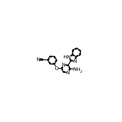 N#Cc1cccc(Oc2cnc(N)c(-c3nc4ccccc4[nH]3)n2)c1